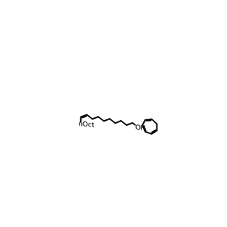 C1=CC=CCC=C1.CCCCCCCC/C=C\CCCCCCCCO